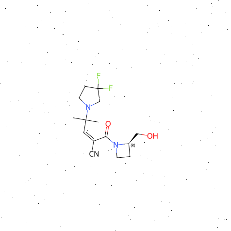 CC(C)(C=C(C#N)C(=O)N1CC[C@@H]1CO)N1CCC(F)(F)C1